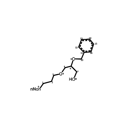 CCCCCCCCCCCCOCC(CO)OCc1ccccc1